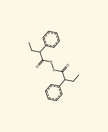 CCC(C(=O)OOC(=O)C(CC)c1ccccc1)c1ccccc1